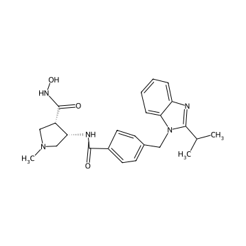 CC(C)c1nc2ccccc2n1Cc1ccc(C(=O)N[C@@H]2CN(C)C[C@@H]2C(=O)NO)cc1